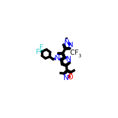 Cc1noc(C)c1-c1cnc2c(-c3cn(C)nc3C(F)(F)F)cn(CC3CCC(F)(F)CC3)c2c1